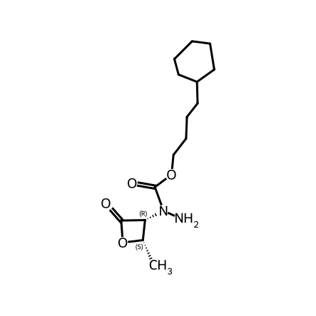 C[C@@H]1OC(=O)[C@@H]1N(N)C(=O)OCCCCC1CCCCC1